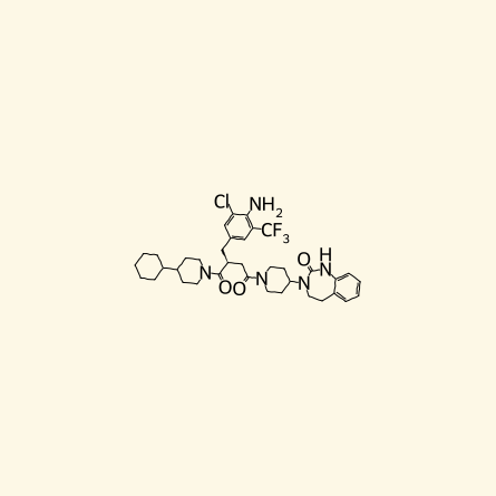 Nc1c(Cl)cc(C[C@@H](CC(=O)N2CCC(N3CCc4ccccc4NC3=O)CC2)C(=O)N2CCC(C3CCCCC3)CC2)cc1C(F)(F)F